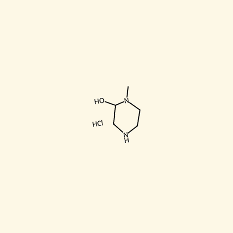 CN1CCNCC1O.Cl